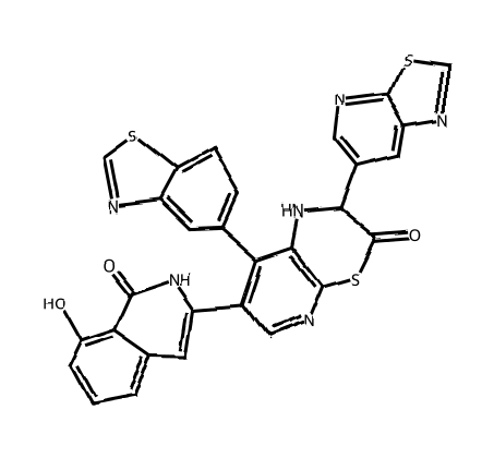 O=C1Sc2n[c]c(-c3cc4cccc(O)c4c(=O)[nH]3)c(-c3ccc4scnc4c3)c2NC1c1cnc2scnc2c1